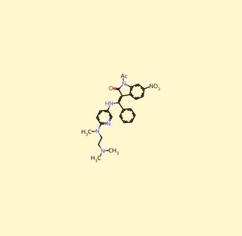 CC(=O)N1C(=O)/C(=C(\Nc2ccc(N(C)CCN(C)C)nc2)c2ccccc2)c2ccc([N+](=O)[O-])cc21